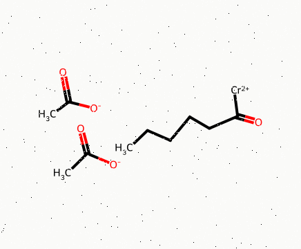 CC(=O)[O-].CC(=O)[O-].CCCCC[C](=O)[Cr+2]